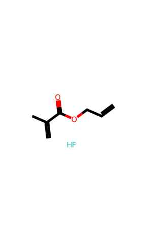 C=CCOC(=O)C(=C)C.F